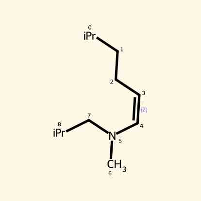 CC(C)CC/C=C\N(C)CC(C)C